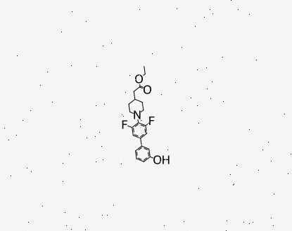 CCOC(=O)CC1CCN(c2c(F)cc(-c3cccc(O)c3)cc2F)CC1